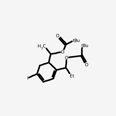 CCC(OC(=O)C(C)(C)C)C1=CC=C(I)CC1C(C)OC(=O)C(C)(C)C